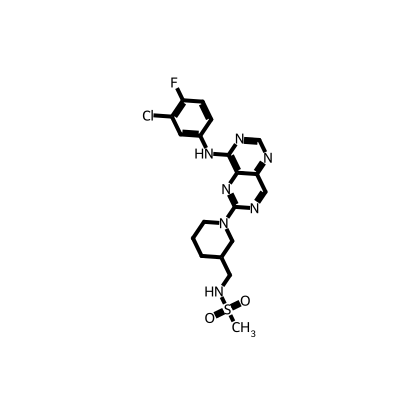 CS(=O)(=O)NCC1CCCN(c2ncc3ncnc(Nc4ccc(F)c(Cl)c4)c3n2)C1